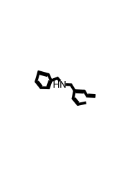 C=C/C=C(\C=C/C)CNCc1ccccc1